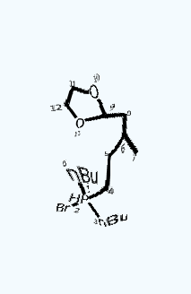 CCCC[PH](Br)(CCCC)CCC(C)CC1OCCO1